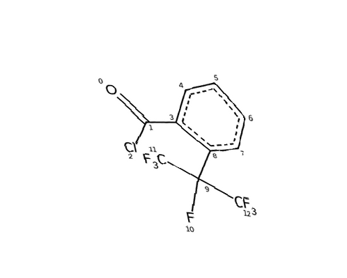 O=C(Cl)c1ccccc1C(F)(C(F)(F)F)C(F)(F)F